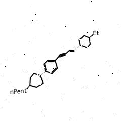 CCCCC[C@H]1CC[C@H](c2ccc(C#C/C=C/[C@H]3CC[C@H](CC)CC3)cc2)CC1